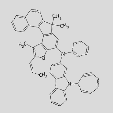 C/C=C\c1oc2c(N(c3ccccc3)c3ccc4c5ccccc5n(C5C#CC=CC=C5)c4c3)cc3c(c2c1C)-c1c(ccc2ccccc12)C3(C)C